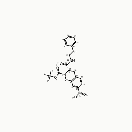 CC(C)(C)OC(=O)N1Cc2cc([N+](=O)[O-])ccc2C[C@H]1C(=O)NCCc1ccccc1